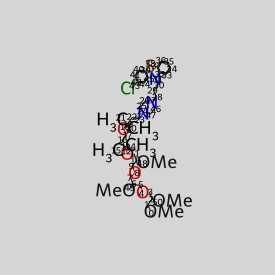 COCC(COCC(COCC(COC(C)(C)CCOC(C)(C)CCN1CCN(CCCN2c3ccccc3Sc3ccc(Cl)cc32)CC1)OC)OC)OC